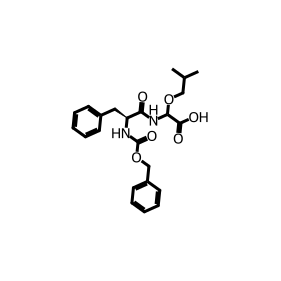 CC(C)COC(NC(=O)[C@H](Cc1ccccc1)NC(=O)OCc1ccccc1)C(=O)O